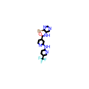 O=C(Nc1cncnc1Br)c1ccnc(Nc2ccc(C(F)(F)F)cn2)c1